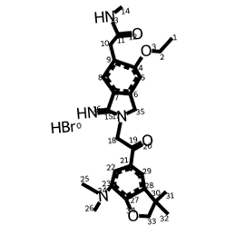 Br.CCOc1cc2c(cc1CC(=O)NC)C(=N)N(CC(=O)c1cc(N(C)C)c3c(c1)C(C)(C)CO3)C2